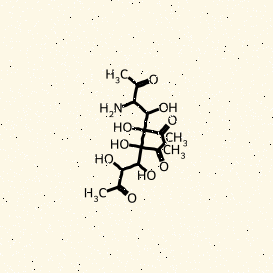 CC(=O)C(N)C(O)C(O)(C(C)=O)C(O)(C(C)=O)C(O)C(O)C(C)=O